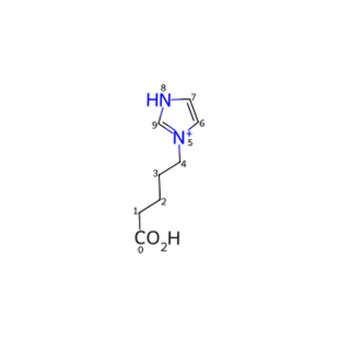 O=C(O)CCCC[n+]1cc[nH]c1